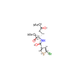 COC(=O)CC[C@H](NC(=O)c1csc(Br)c1)C(=O)OC